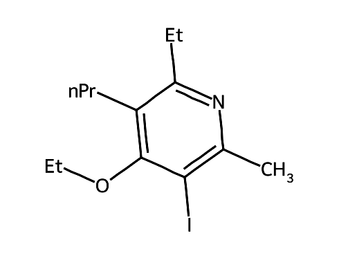 CCCc1c(CC)nc(C)c(I)c1OCC